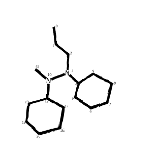 CCCN(C1CCCCC1)N(C)C1CCCCC1